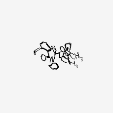 CCC(OS(C)(=O)=O)c1nc2cccc(F)c2c(=O)n1-c1ccccc1